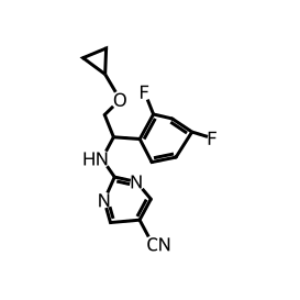 N#Cc1cnc(NC(COC2CC2)c2ccc(F)cc2F)nc1